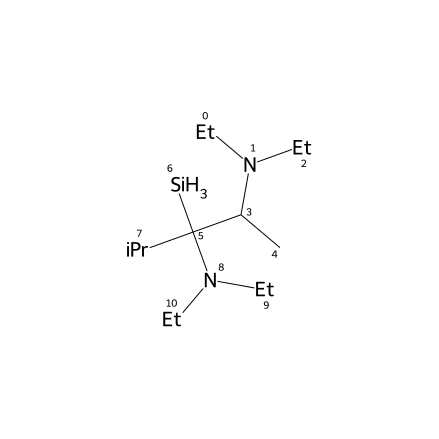 CCN(CC)C(C)C([SiH3])(C(C)C)N(CC)CC